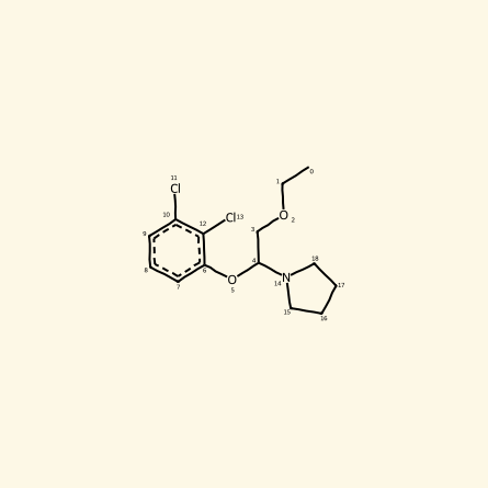 CCOCC(Oc1cccc(Cl)c1Cl)N1CCCC1